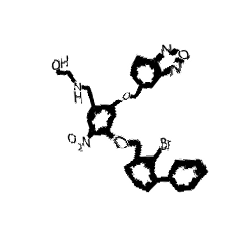 O=[N+]([O-])c1cc(CNCCO)c(OCc2ccc3nonc3c2)cc1OCc1cccc(-c2ccccc2)c1Br